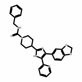 O=C(NCc1ccccc1)N1CCC(c2nc(-c3ccc4c(c3)OCO4)c(-c3ccccn3)[nH]2)CC1